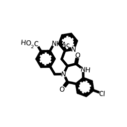 CC(=O)Nc1cc(CN2C(=O)c3ccc(Cl)cc3NC(=O)C2Cc2ccccn2)ccc1C(=O)O